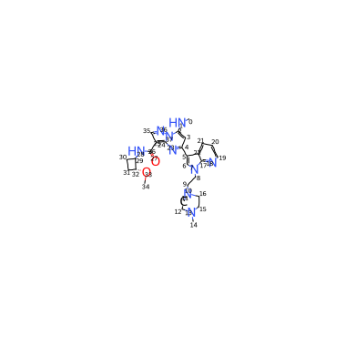 CNc1cc(-c2cn(CCN3CCN(C)CC3)c3ncccc23)nc2c(C(=O)N[C@@H]3CC[C@H]3OC)cnn12